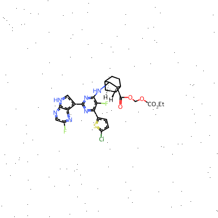 CCOC(=O)OCOC(=O)[C@H]1C2CCC(CC2)[C@@H]1Nc1nc(-c2c[nH]c3ncc(F)nc23)nc(-c2ccc(Cl)s2)c1F